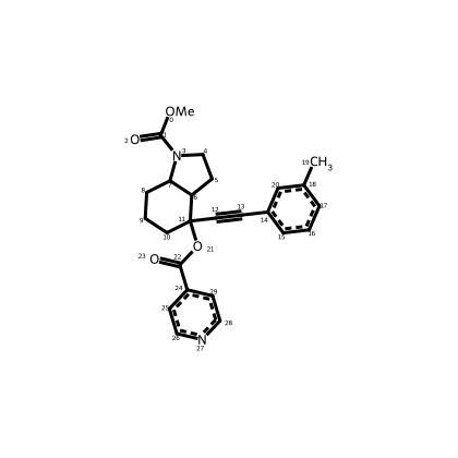 COC(=O)N1CCC2C1CCCC2(C#Cc1cccc(C)c1)OC(=O)c1ccncc1